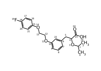 CC(C)OC(Cc1cccc(OCCOc2ccc(F)cc2)c1)C(=O)O